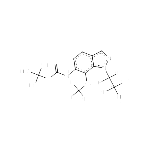 [2H]C([2H])([2H])Oc1c(NC(=O)OC(C)(C)C)ccc2cnn(C([2H])([2H])C([2H])([2H])[2H])c12